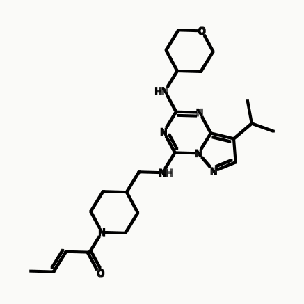 CC=CC(=O)N1CCC(CNc2nc(NC3CCOCC3)nc3c(C(C)C)cnn23)CC1